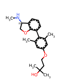 CN[C@@H]1COc2c(-c3c(C)cc(OCCC(C)(C)O)cc3C)cccc21